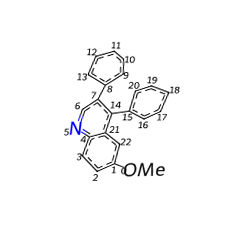 COc1ccc2ncc(-c3ccccc3)c(-c3ccccc3)c2c1